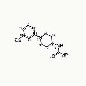 CC(C)C(=O)NC1CCN(c2cccc(Cl)c2)CC1